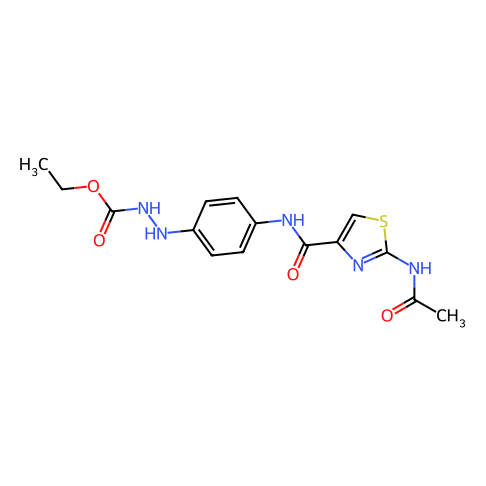 CCOC(=O)NNc1ccc(NC(=O)c2csc(NC(C)=O)n2)cc1